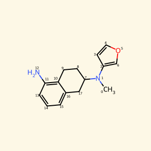 CN(c1ccoc1)C1CCc2c(N)cccc2C1